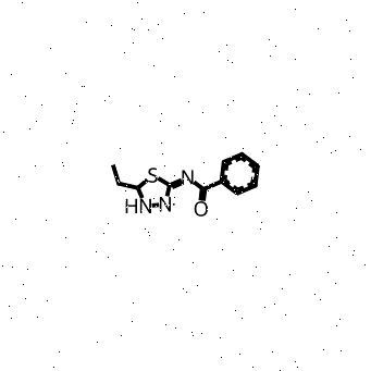 CCC1N[N]C(=NC(=O)c2ccccc2)S1